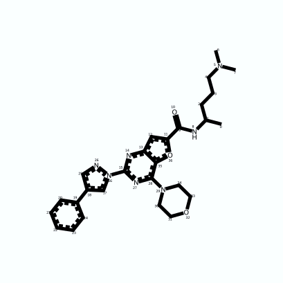 CC(CCCN(C)C)NC(=O)c1cc2nc(-n3cc(-c4ccccc4)cn3)nc(N3CCOCC3)c2o1